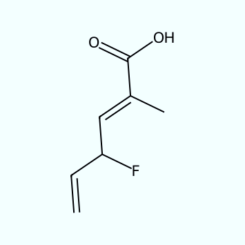 C=CC(F)/C=C(\C)C(=O)O